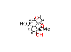 CCc1occc(=O)c1-c1c(C(=O)O)ccc(O)c1OC